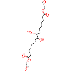 O=C(CCCCCCC(O)C(O)CCCCCCC(=O)OCC1CO1)OCC1CO1